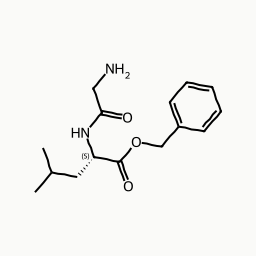 CC(C)C[C@H](NC(=O)CN)C(=O)OCc1ccccc1